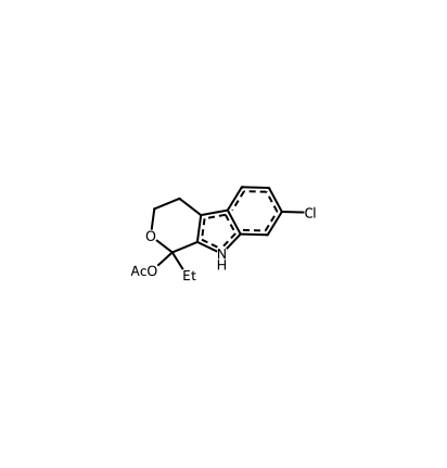 CCC1(OC(C)=O)OCCc2c1[nH]c1cc(Cl)ccc21